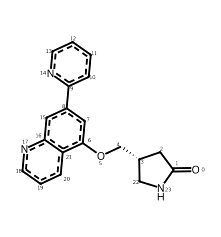 O=C1C[C@@H](COc2cc(-c3ccccn3)cc3ncccc23)CN1